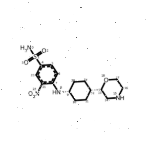 NS(=O)(=O)c1ccc(N[C@H]2CC[C@@H](C3CNCCO3)CC2)c([N+](=O)[O-])c1